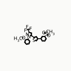 COc1ccccc1-n1nc(C(F)(F)F)cc1-c1cc(-c2cccc(S(C)(=O)=O)c2)cs1